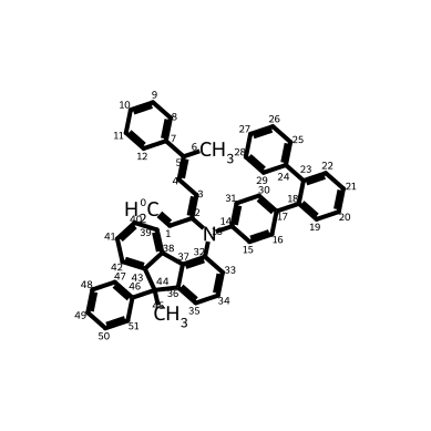 C=C/C(=C\C=C(/C)c1ccccc1)N(c1ccc(-c2ccccc2-c2ccccc2)cc1)c1cccc2c1-c1ccccc1C2(C)c1ccccc1